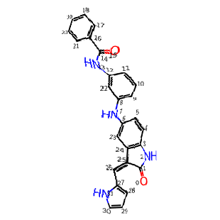 O=C1Nc2ccc(Nc3cccc(NC(=O)c4ccccc4)c3)cc2C1=Cc1ccc[nH]1